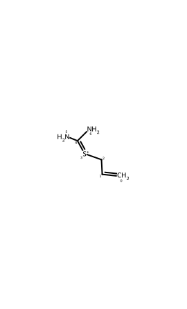 C=CC[S+]=C(N)N